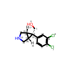 OC[C@]1(c2ccc(Cl)c(Cl)c2)[C@@H]2CNC[C@@H]21